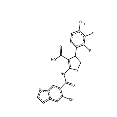 Cc1ccc(C2CSC(NC(=O)c3cc4occc4cc3O)=C2C(=O)O)c(F)c1F